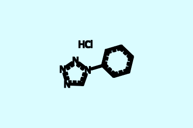 Cl.c1ccc(-n2cnnn2)cc1